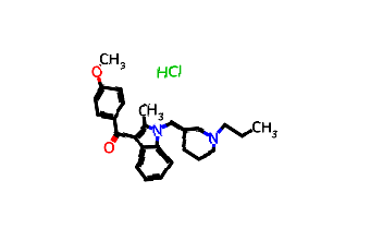 CCCN1CCCC(Cn2c(C)c(C(=O)c3ccc(OC)cc3)c3ccccc32)C1.Cl